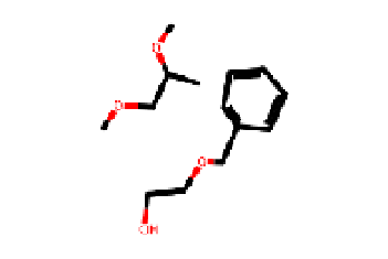 COCC(C)OC.OCCOCc1ccccc1